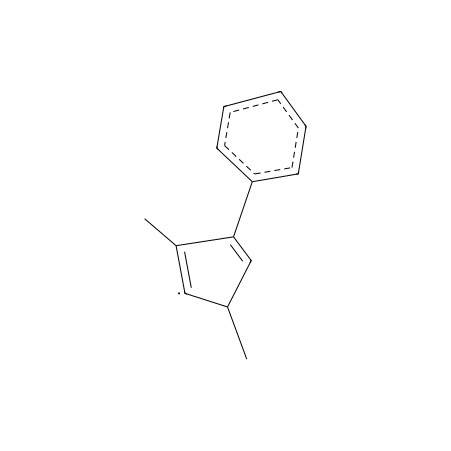 CC1=[C]C(C)C=C1c1ccccc1